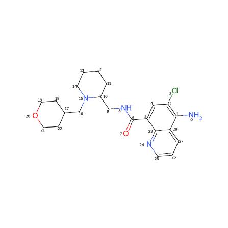 Nc1c(Cl)cc(C(=O)NCC2CCCCN2CC2CCOCC2)c2ncccc12